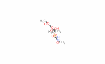 CCC(=O)OCCCOC(=O)[C@H](O)C(C)(C)COS(=O)(=O)CCCNC(C)=O